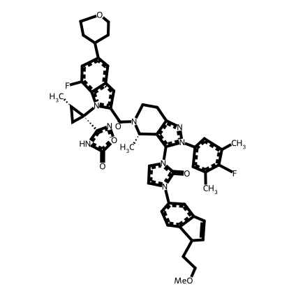 COCCC1C=Cc2cc(-n3ccn(-c4c5c(nn4-c4cc(C)c(F)c(C)c4)CCN(C(=O)c4cc6cc(C7CCOCC7)cc(F)c6n4[C@@]4(c6noc(=O)[nH]6)C[C@@H]4C)[C@H]5C)c3=O)ccc21